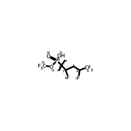 CC(C)(C(F)CC(F)C(F)(F)F)P(=O)(O)OC(F)(F)F